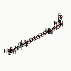 O=C(CCCCCNC(=O)CCCC[C@@H]1SC[C@@H]2NC(=O)N[C@@H]21)NCCCCCC(=O)NCCOCCOCCOCCOCCOCCOCCOCCOCCNC(=O)CCC(=O)NCCSCCNCc1ccc(-c2ccc3ncnc(Nc4ccc(OCc5cccc(F)c5)c(I)c4)c3c2)o1